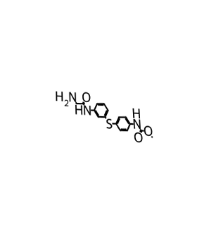 COC(=O)Nc1ccc(Sc2cccc(NC(=O)CN)c2)cc1